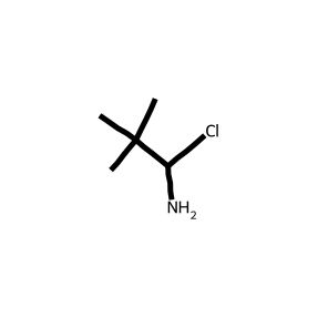 CC(C)(C)C(N)Cl